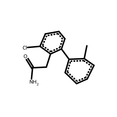 Cc1ccccc1-c1cccc(Cl)c1CC(N)=O